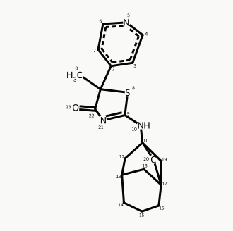 CC1(c2ccncc2)SC(NC23CC4CCCC(C4)(C2)C3)=NC1=O